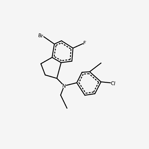 CCN(c1ccc(Cl)c(C)c1)C1CCc2c(Br)cc(F)cc21